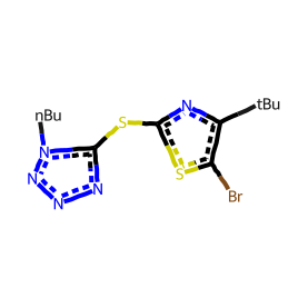 CCCCn1nnnc1Sc1nc(C(C)(C)C)c(Br)s1